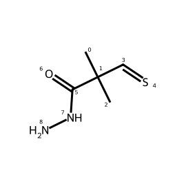 CC(C)(C=S)C(=O)NN